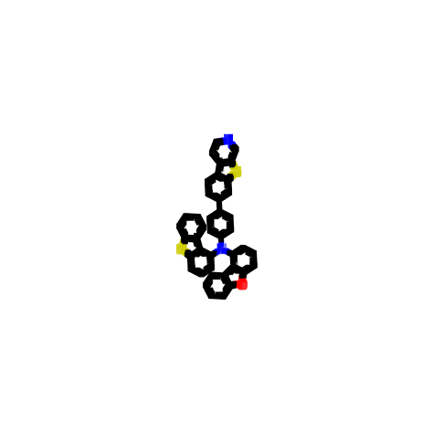 c1ccc2c(c1)oc1cccc(N(c3ccc(-c4ccc5c(c4)sc4cnccc45)cc3)c3cccc4sc5ccccc5c34)c12